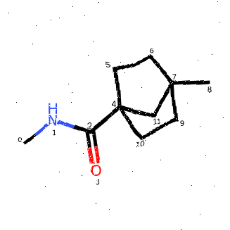 CNC(=O)C12CCC(C)(CC1)C2